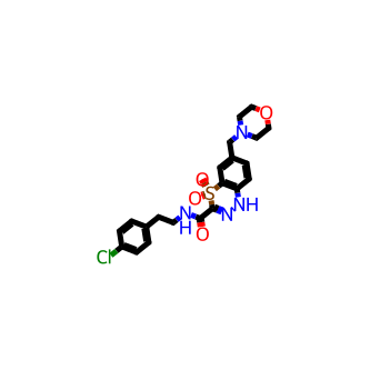 O=C(NCCc1ccc(Cl)cc1)C1=NNc2ccc(CN3CCOCC3)cc2S1(=O)=O